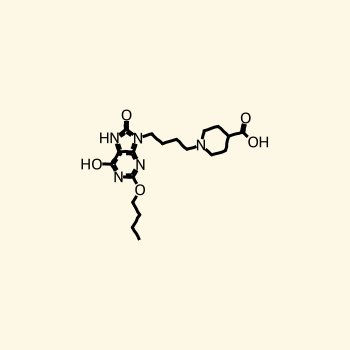 CCCCOc1nc(O)c2[nH]c(=O)n(CCCCN3CCC(C(=O)O)CC3)c2n1